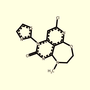 CN1CCOc2nc(Cl)cc3c2c1nc(=O)n3-c1nccs1